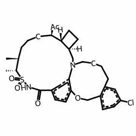 CC(=O)[C@@H]1CCC[C@H](C)[C@@H](C)S(=O)(=O)NC(=O)c2ccc3c(c2)N(CCCCc2cc(Cl)ccc2CO3)C[C@@H]2CC[C@H]21